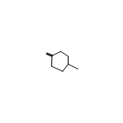 [CH]=C1CCC(C)CC1